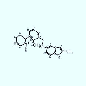 Cc1cc2cc(OCC3=CC=CN(C4CCNCC4(F)F)C3C)ccc2o1